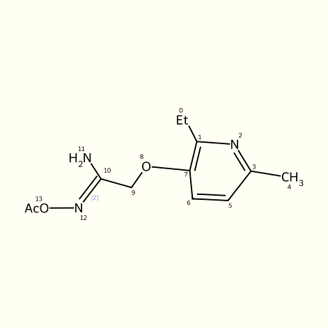 CCc1nc(C)ccc1OC/C(N)=N/OC(C)=O